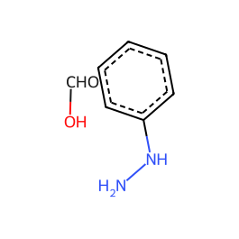 NNc1ccccc1.O=CO